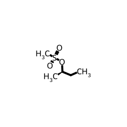 CC[C@@H](C)OS(C)(=O)=O